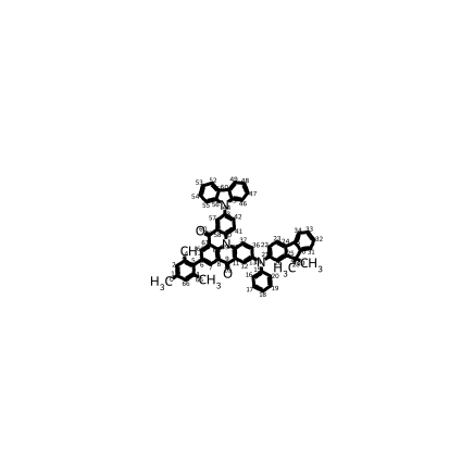 Cc1cc(C)c(-c2cc3c(=O)c4cc(N(c5ccccc5)c5ccc6c(c5)C(C)(C)c5ccccc5-6)ccc4n4c5ccc(-n6c7ccccc7c7ccccc76)cc5c(=O)c(c2)c34)c(C)c1